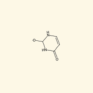 [O]C1NC=CC(=O)N1